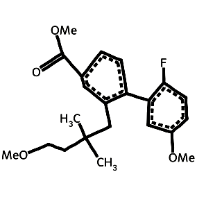 COCCC(C)(C)Cc1cc(C(=O)OC)ccc1-c1cc(OC)ccc1F